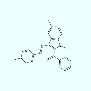 Cc1ccc(/N=N/c2c(C(=O)c3ccccc3)n(C)c3ccc(C)cc23)cc1